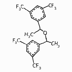 CC(OC(C)c1cc(C(F)(F)F)cc(C(F)(F)F)c1)c1cc(C(F)(F)F)cc(C(F)(F)F)c1